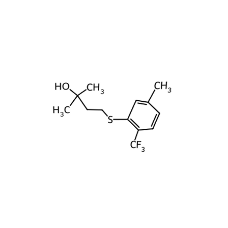 Cc1ccc(C(F)(F)F)c(SCCC(C)(C)O)c1